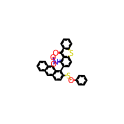 O=c1c2ccccc2sc2ccc(-c3c(SOc4ccccc4)ccc4cc5ccccc5cc34)c([N+](=O)[O-])c12